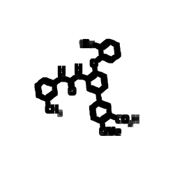 COc1ccc(-c2ccc(Oc3ccccc3C(C)(C)C)c(NC(=O)Nc3cccc(C)c3)c2)cc1C(=O)O